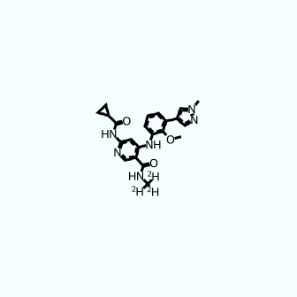 [2H]C([2H])([2H])NC(=O)c1cnc(NC(=O)C2CC2)cc1Nc1cccc(-c2cnn(C)c2)c1OC